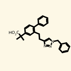 CC(C)(C(=O)O)c1ccc(-c2ccccc2)c(CCc2cn(Cc3ccccc3)nn2)c1